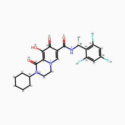 C[C@@H](NC(=O)c1cn2c(c(O)c1=O)C(=O)N(C1CCCCC1)CC2)c1c(F)cc(F)cc1F